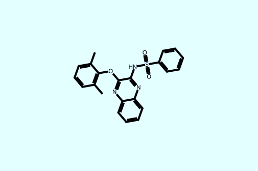 Cc1cccc(C)c1Oc1nc2ccccc2nc1NS(=O)(=O)c1ccccc1